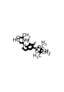 C=C(Cl)NC(CO)N1CCc2cc(B3OC(C)(C)C(C)(C)O3)c(F)c(F)c21